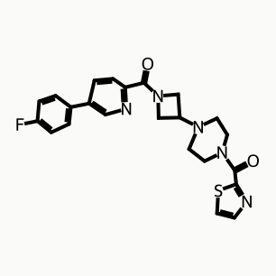 O=C(c1ccc(-c2ccc(F)cc2)cn1)N1CC(N2CCN(C(=O)c3nccs3)CC2)C1